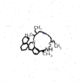 C=C1NSN(CC)CC/C=C\CC(CC)C(C)CN2CC3(CCCC4=C3C=CCC4)Cc3ccc1cc32